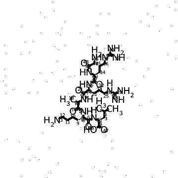 CC(C)C[C@H](NC(=O)[C@H](CCCCN)NC(=O)[C@H](C)NC(=O)[C@H](CCCNC(=N)N)NC(=O)[C@H](CCCNC(=N)N)NC(=O)CN)C(=O)O